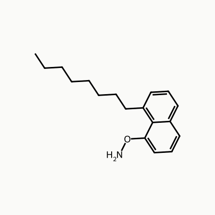 CCCCCCCCc1cccc2cccc(ON)c12